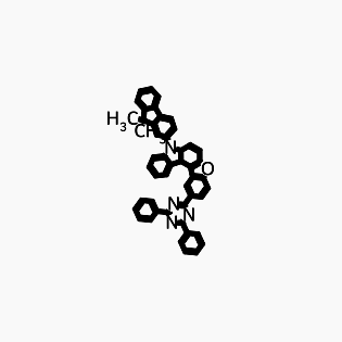 CC1(C)c2ccccc2-c2ccc(N3c4ccccc4C4c5c(oc6ccc(-c7nc(-c8ccccc8)nc(-c8ccccc8)n7)cc56)C=CC43)cc21